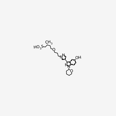 C[C@H](CCOCCCn1cc(-c2nn(C3CCCCO3)c3ccc(O)cc23)cn1)CS(=O)(=O)O